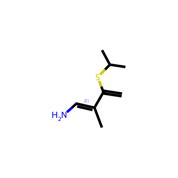 C=C(SC(C)C)/C(C)=C/N